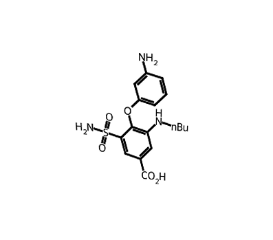 CCCCNc1cc(C(=O)O)cc(S(N)(=O)=O)c1Oc1cccc(N)c1